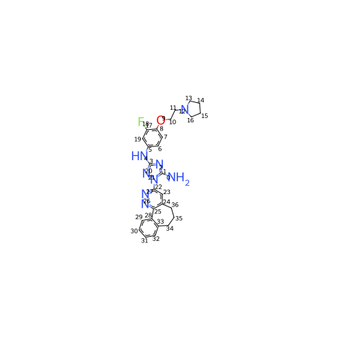 Nc1nc(Nc2ccc(OCCN3CCCC3)c(F)c2)nn1-c1cc2c(nn1)-c1ccccc1CCC2